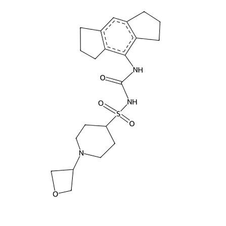 O=C(Nc1c2c(cc3c1CCC3)CCC2)NS(=O)(=O)C1CCN(C2COC2)CC1